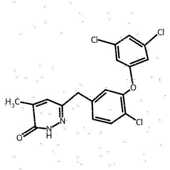 Cc1cc(Cc2ccc(Cl)c(Oc3cc(Cl)cc(Cl)c3)c2)n[nH]c1=O